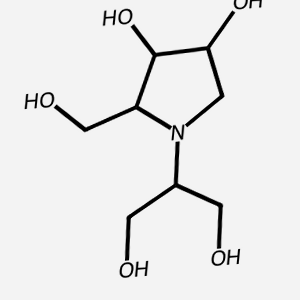 OCC(CO)N1CC(O)C(O)C1CO